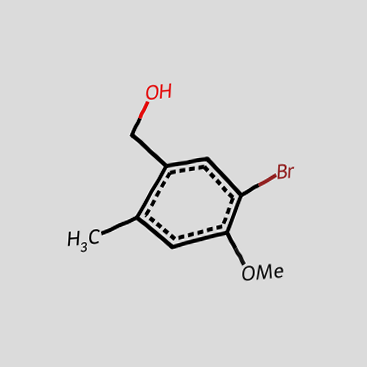 COc1cc(C)c(CO)cc1Br